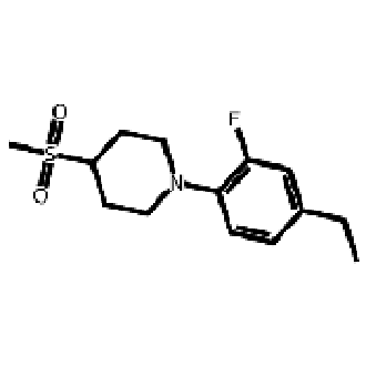 CCc1ccc(N2CCC(S(C)(=O)=O)CC2)c(F)c1